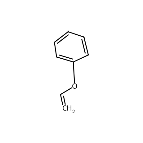 C=COc1cc[c]cc1